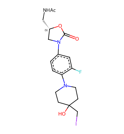 CC(=O)NC[C@H]1CN(c2ccc(N3CCC(O)(CI)CC3)c(F)c2)C(=O)O1